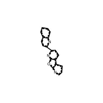 c1ccc2nc(-c3ccc4c(n3)oc3ncccc34)ccc2c1